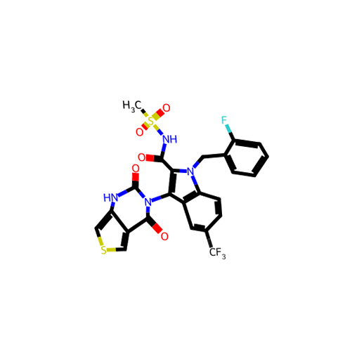 CS(=O)(=O)NC(=O)c1c(-n2c(=O)[nH]c3cscc3c2=O)c2cc(C(F)(F)F)ccc2n1Cc1ccccc1F